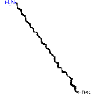 CCCCCCCCCCCCCCCCCCCCCCCCCCCCCCCCCCCCCCCCN